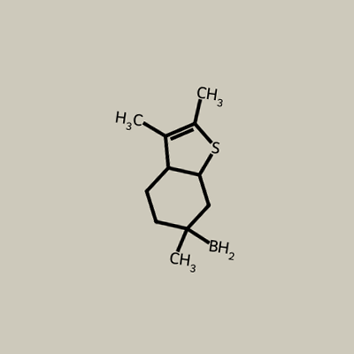 BC1(C)CCC2C(C)=C(C)SC2C1